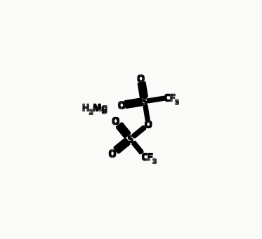 O=S(=O)(OS(=O)(=O)C(F)(F)F)C(F)(F)F.[MgH2]